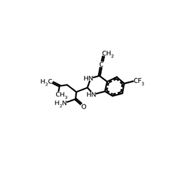 C=C=C1NC(C(CC(=C)C)C(N)=O)Nc2ccc(C(F)(F)F)cc21